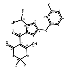 Cc1cccc(Cn2cc(C(=O)C3=C(O)CC(C)(C)CC3=O)c(C(F)F)n2)n1